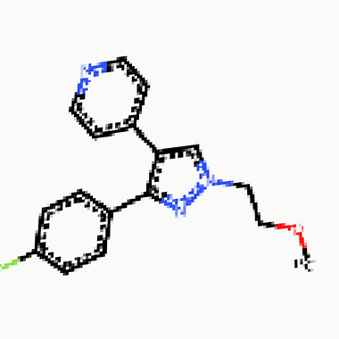 [13CH3]OCCn1cc(-c2ccncc2)c(-c2ccc(F)cc2)n1